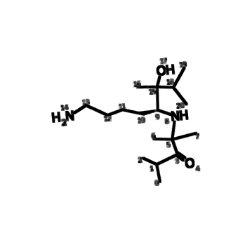 CC(C)C(=O)C(C)(C)N[C@@H](CCCCN)C(C)(O)C(C)C